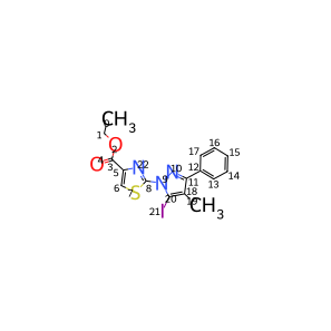 CCOC(=O)c1csc(-n2nc(-c3ccccc3)c(C)c2I)n1